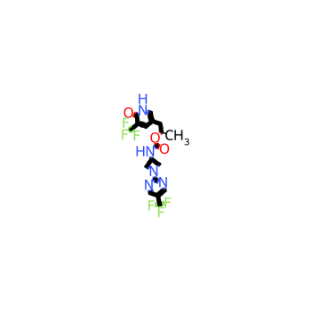 C[C@@H](Cc1c[nH]c(=O)c(C(F)(F)F)c1)OC(=O)NC1CN(c2ncc(C(F)(F)F)cn2)C1